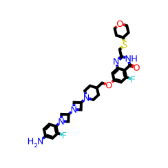 Nc1ccc(N2CC(N3CC(N4CCC(COc5cc(F)c6c(=O)[nH]c(CSC7CCOCC7)nc6c5)CC4)C3)C2)c(F)c1